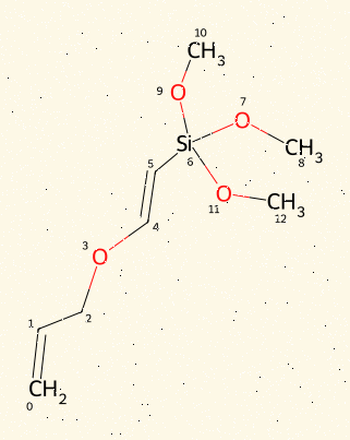 C=CCOC=C[Si](OC)(OC)OC